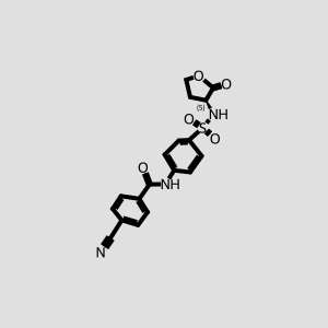 N#Cc1ccc(C(=O)Nc2ccc(S(=O)(=O)N[C@H]3CCOC3=O)cc2)cc1